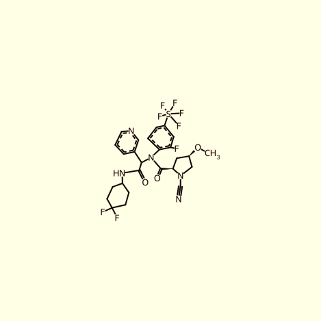 CO[C@@H]1C[C@H](C(=O)N(c2ccc(S(F)(F)(F)(F)F)cc2F)C(C(=O)NC2CCC(F)(F)CC2)c2cccnc2)N(C#N)C1